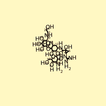 N=C(N)NC1CC1(O)C(=O)N[C@@H]1C[C@H](N)C(O[C@H]2O[C@H](CNCCO)[C@@H](O)[C@H](O)[C@H]2O)[C@H](O)[C@H]1O[C@H]1O[C@H](CO)[C@@H](O)[C@H](N)[C@H]1O